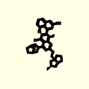 CCc1cccc2cc(O)cc(-c3nc(Cl)c4c(N5CC6CCC(C5)N6)nc(OC[C@@]56CCCN5C[C@H](F)C6)nc4c3F)c12